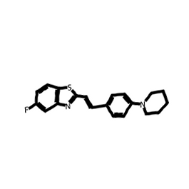 Fc1ccc2sc(C=Cc3ccc(N4CCCCC4)cc3)nc2c1